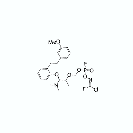 COc1cccc(CCc2ccccc2O[C@@H](C(C)OCO[P@](=O)(F)O/N=C(\F)Cl)N(C)C)c1